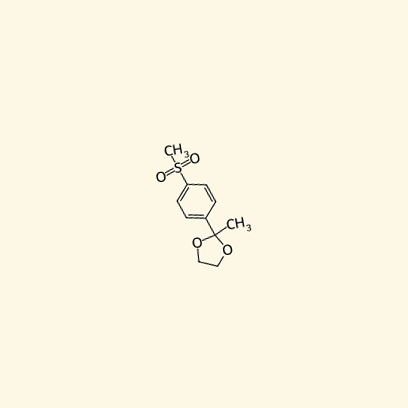 CC1(c2ccc(S(C)(=O)=O)cc2)OCCO1